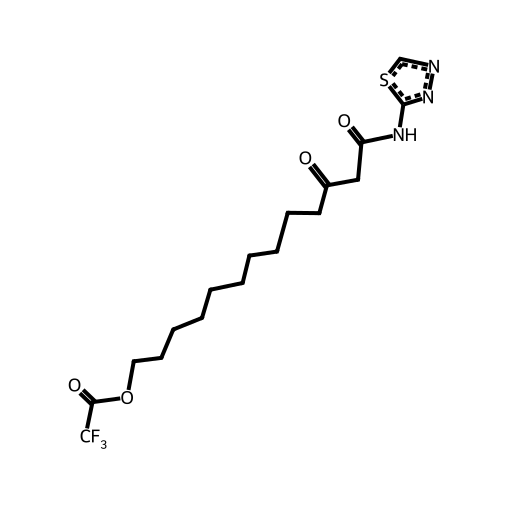 O=C(CCCCCCCCCCOC(=O)C(F)(F)F)CC(=O)Nc1nncs1